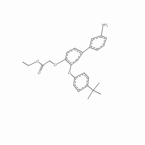 CCOC(=O)COc1ccc(-c2cccc(N)c2)cc1Oc1ccc(C(C)(C)C)cc1